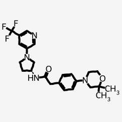 CC1(C)CN(c2ccc(CC(=O)N[C@@H]3CCN(c4cncc(C(F)(F)F)c4)C3)cc2)CCO1